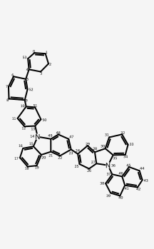 C1=CCCC(c2cccc(-c3ccc(-n4c5ccccc5c5cc(C6=CCC7C(=C6)c6ccccc6N7c6cccc7ccccc67)ccc54)cc3)c2)=C1